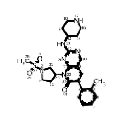 Cc1ccccc1-c1cc2cnc(NC3CCNCC3)nc2n([C@H]2CCN(S(C)(=O)=O)C2)c1=O